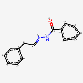 O=C(NN=CCc1ccccc1)c1ccccc1